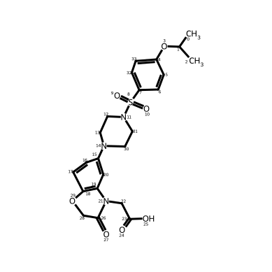 CC(C)Oc1ccc(S(=O)(=O)N2CCN(c3ccc4c(c3)N(CC(=O)O)C(=O)CO4)CC2)cc1